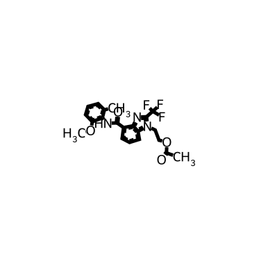 COc1cccc(C)c1NC(=O)c1cccc2c1nc(C(F)(F)F)n2CCOC(C)=O